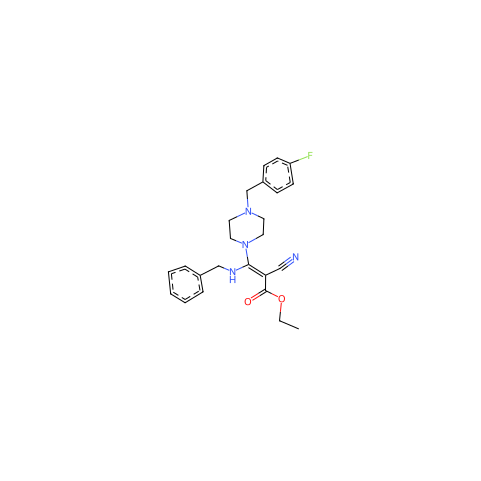 CCOC(=O)C(C#N)=C(NCc1ccccc1)N1CCN(Cc2ccc(F)cc2)CC1